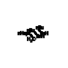 CCC[CH2][SnH].CCC[CH2][SnH].[CH2]CCCCCCC